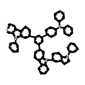 c1ccc(N(c2ccccc2)c2ccc(-c3cc(-c4ccc5c6ccccc6n(-c6ccccc6)c5c4)cc(-c4ccc5c6ccccc6n(-c6ccc7c(ccn7-c7ccccc7)c6)c5c4)c3)cc2)cc1